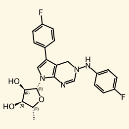 C[C@H]1O[C@@H](n2cc(-c3ccc(F)cc3)c3c2N=CN(Nc2ccc(F)cc2)C3)[C@H](O)[C@@H]1O